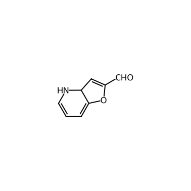 O=CC1=CC2NC=CC=C2O1